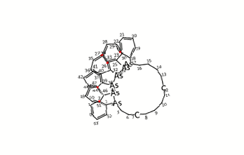 c1ccc([As]2CCCCCCCCCCCC[As](c3ccccc3)[As](c3ccccc3)[As](c3ccccc3)[As](c3ccccc3)[As]2c2ccccc2)cc1